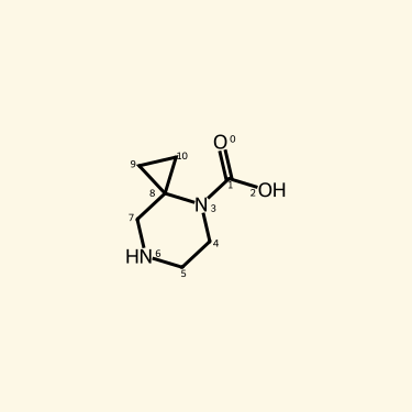 O=C(O)N1CCNCC12CC2